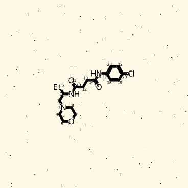 CCC(CN1CCOCC1)NC(=O)CCC(=O)Nc1ccc(Cl)cc1